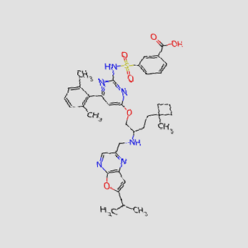 Cc1cccc(C)c1-c1cc(OCC(CCC2(C)CCC2)NCc2cnc3oc(C(C)C)cc3n2)nc(NS(=O)(=O)c2cccc(C(=O)O)c2)n1